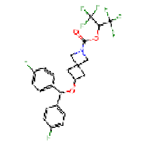 O=C(OC(C(F)(F)F)C(F)(F)F)N1CC2(CC(OC(c3ccc(F)cc3)c3ccc(F)cc3)C2)C1